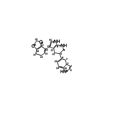 C1=CC2CC(C3CNc4[nH]cc(C5=CCCC6=C5OCO6)c4C3)=CC=C2N1